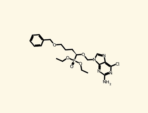 CCOP(=O)(OCC)[C@@H](CCCOCc1ccccc1)OCn1cnc2c(Cl)nc(N)nc21